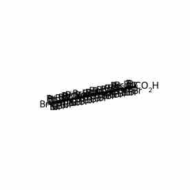 O=C(O)C(Br)(Br)C(Br)(Br)C(Br)(Br)C(Br)(Br)C(Br)(Br)C(Br)(Br)C(Br)(Br)C(Br)(Br)C(Br)(Br)C(Br)(Br)C(Br)(Br)C(Br)(Br)C(Br)(Br)C(Br)(Br)C(Br)(Br)C(Br)(Br)C(Br)(Br)C(Br)(Br)C(Br)(Br)C(Br)(Br)C(Br)(Br)C(Br)(Br)C(Br)(Br)Br